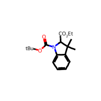 CCOC(=O)C1N(C(=O)OC(C)(C)C)c2ccccc2C1(C)C